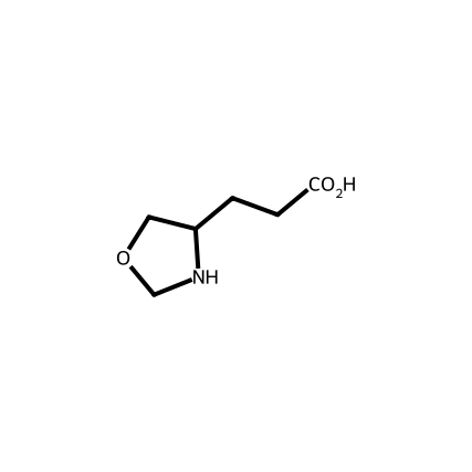 O=C(O)CCC1COCN1